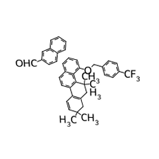 CC1(C)C=CC2=C(C1)CC(C)(C)c1c2ccc2cccc(OCc3ccc(C(F)(F)F)cc3)c12.O=Cc1ccc2ccccc2c1